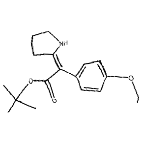 COc1ccc(C(C(=O)OC(C)(C)C)=C2CCCN2)cc1